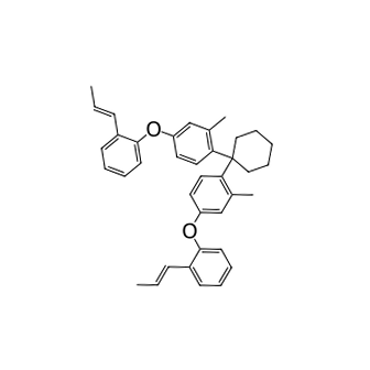 CC=Cc1ccccc1Oc1ccc(C2(c3ccc(Oc4ccccc4C=CC)cc3C)CCCCC2)c(C)c1